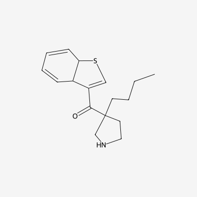 CCCCC1(C(=O)C2=CSC3C=CC=CC23)CCNC1